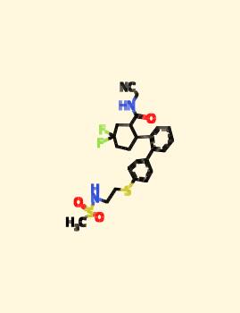 CS(=O)(=O)NCCSc1ccc(-c2ccccc2C2CCC(F)(F)CC2C(=O)NCC#N)cc1